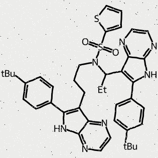 [CH2]CC(c1c(-c2ccc(C(C)(C)C)cc2)[nH]c2nccnc12)N(CCCc1c(-c2ccc(C(C)(C)C)cc2)[nH]c2nccnc12)S(=O)(=O)c1cccs1